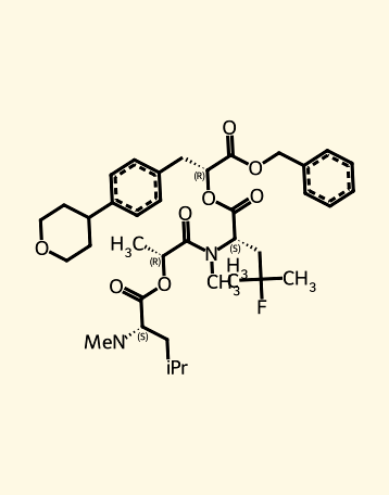 CN[C@@H](CC(C)C)C(=O)O[C@H](C)C(=O)N(C)[C@@H](CC(C)(C)F)C(=O)O[C@H](Cc1ccc(C2CCOCC2)cc1)C(=O)OCc1ccccc1